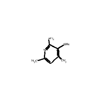 CNc1c(C)cc(C)nc1N